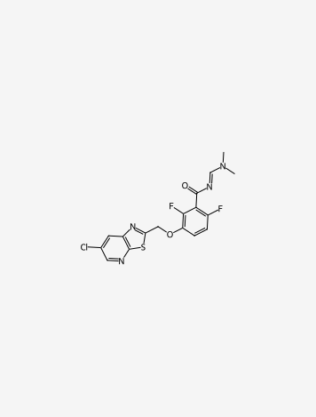 CN(C)C=NC(=O)c1c(F)ccc(OCc2nc3cc(Cl)cnc3s2)c1F